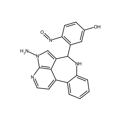 Nn1cc2c3c(ccnc31)-c1ccccc1NC2c1cc(O)ccc1N=O